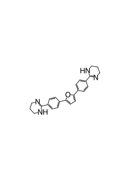 c1cc(-c2ccc(-c3ccc(C4=NCCCN4)cc3)o2)ccc1C1=NCCCN1